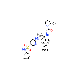 CC(C)(CNc1ccc(S(=O)(=O)Nc2ccccc2)cn1)NCC(=O)N1CCC[C@H]1C#N.O=C(O)/C=C/C(=O)O